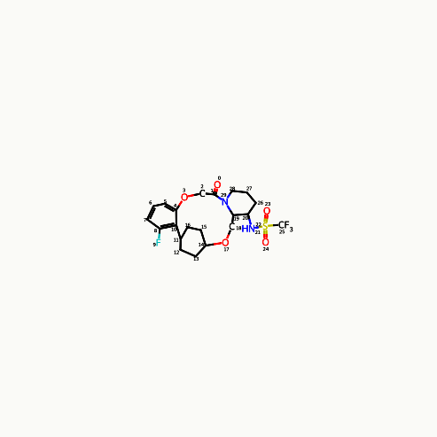 O=C1COc2cccc(F)c2C2CCC(CC2)OCC2C(NS(=O)(=O)C(F)(F)F)CCCN12